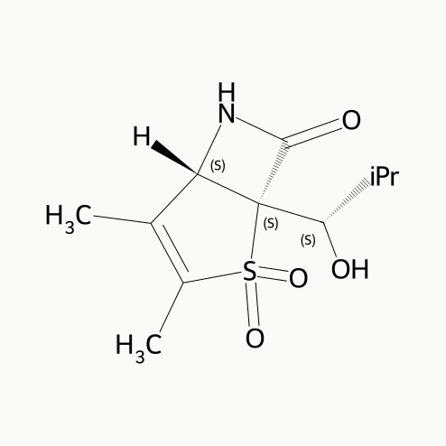 CC1=C(C)S(=O)(=O)[C@@]2([C@@H](O)C(C)C)C(=O)N[C@@H]12